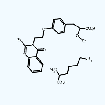 CCOC(Cc1ccc(OCCn2c(CC)nc3ccccc3c2=O)cc1)C(=O)O.NCCCCC(N)C(=O)O